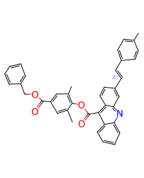 Cc1ccc(/C=C/c2ccc3c(C(=O)Oc4c(C)cc(C(=O)OCc5ccccc5)cc4C)c4ccccc4nc3c2)cc1